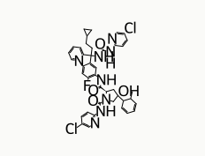 CC1C=CC=CC1[C@@]1(O)C[C@H](C(=O)Nc2cc(C(CCC3CC3)(NC(=O)Nc3ccc(Cl)cn3)c3ccccn3)ccc2F)N(C(=O)Nc2ccc(Cl)cn2)C1